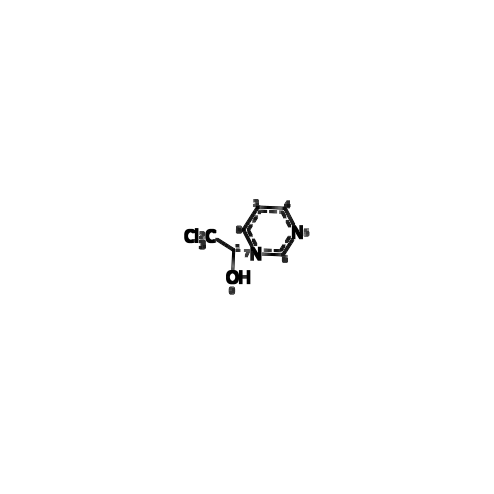 OCC(Cl)(Cl)Cl.c1cncnc1